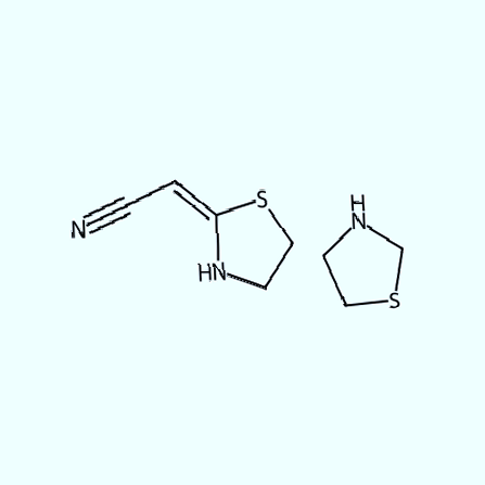 C1CSCN1.N#C/C=C1\NCCS1